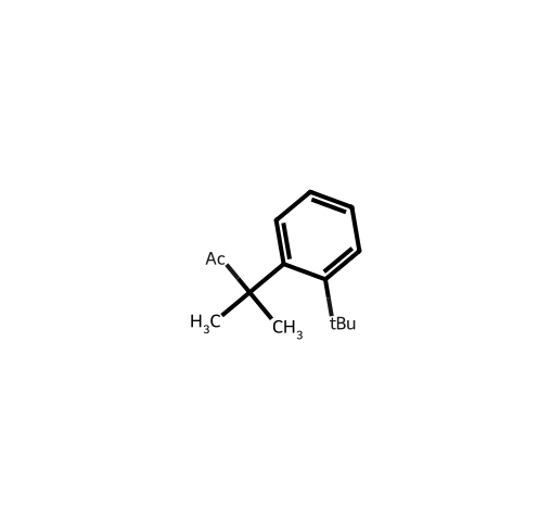 CC(=O)C(C)(C)c1ccccc1C(C)(C)C